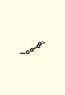 CCCCC[C@H]1CC[C@H](c2ccc(C#Cc3ccc4cc(OCC)ccc4c3)cc2)CC1